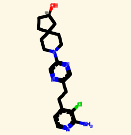 Nc1nccc(CCc2cnc(N3CCC4(CC[C@@H](O)C4)CC3)cn2)c1Cl